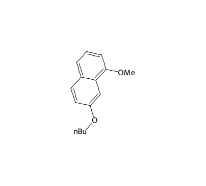 CCCCOc1ccc2cccc(OC)c2c1